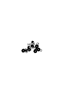 COc1ccc(C(OC[C@H]2O[C@@H](n3ccc4c(NC(=O)c5ccccc5)ncnc43)[C@H](O)[C@@H]2O[Si](C)(C)C(C)(C)C)(c2ccccc2)c2ccc(OC)cc2)cc1